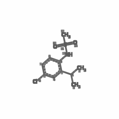 CC(C)c1cc(Cl)ccc1NS(C)(=O)=O